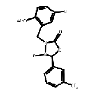 COc1ccc(Cl)cc1CN1C(=O)OC(c2cccc(C(F)(F)F)c2)N1F